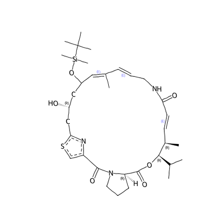 CC1=C\C(O[Si](C)(C)C(C)(C)C)C[C@@H](O)Cc2nc(cs2)C(=O)N2CCC[C@@H]2C(=O)O[C@H](C(C)C)[C@H](C)/C=C/C(=O)NC\C=C\1